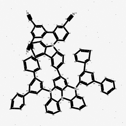 N#Cc1cc(C#N)cc(-c2cc(C#N)ccc2-n2c3ccccc3c3cc(-c4cc5c6c(c4)N(c4cc(-c7ccccc7)cc(-c7ccccc7)c4)c4ccccc4B6c4ccccc4N5c4cc(-c5ccccc5)cc(-c5ccccc5)c4)ccc32)c1